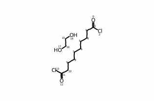 O=C(Cl)CCCCCCCCC(=O)Cl.OCCO